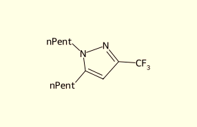 CCCCCc1cc(C(F)(F)F)nn1CCCCC